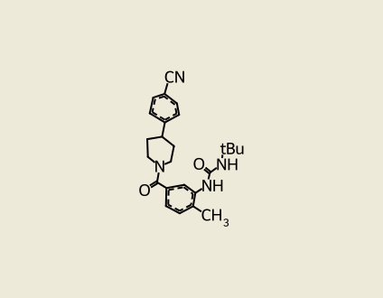 Cc1ccc(C(=O)N2CCC(c3ccc(C#N)cc3)CC2)cc1NC(=O)NC(C)(C)C